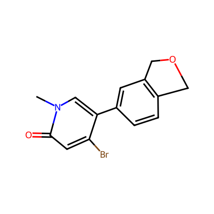 Cn1cc(-c2ccc3c(c2)COC3)c(Br)cc1=O